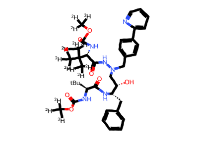 [2H]C([2H])([2H])OC(=O)N[C@H](C(=O)N[C@@H](Cc1ccccc1)[C@@H](O)CN(Cc1ccc(-c2ccccn2)cc1)NC(=O)[C@@H](NC(=O)OC([2H])([2H])[2H])C(C([2H])([2H])[2H])(C([2H])([2H])[2H])C([2H])([2H])[2H])C(C)(C)C